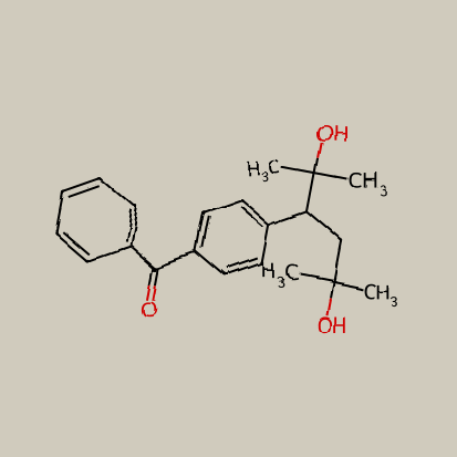 CC(C)(O)CC(c1ccc(C(=O)c2ccccc2)cc1)C(C)(C)O